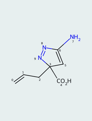 C=CCC1(C(=O)O)C=C(N)N=N1